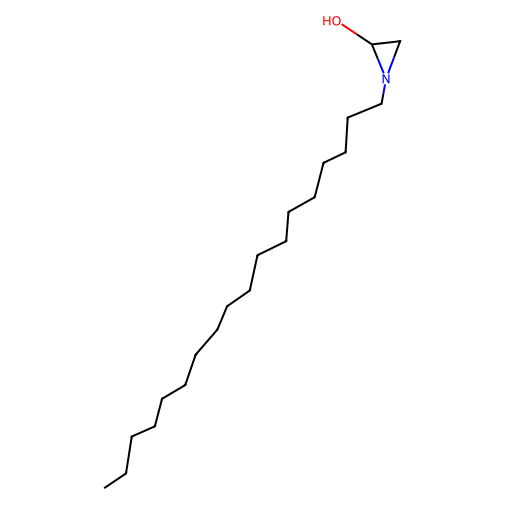 CCCCCCCCCCCCCCCCCCN1CC1O